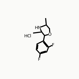 CC1COC(c2ccc(F)cc2F)C(C)N1.Cl